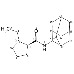 CCN1CCC[C@@H]1C(=O)NC1C2CC3CC(C2)CC1C3